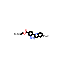 COCCOC(=O)c1ccc(-c2ccc3cc(OC)ccc3n2)c(N)c1